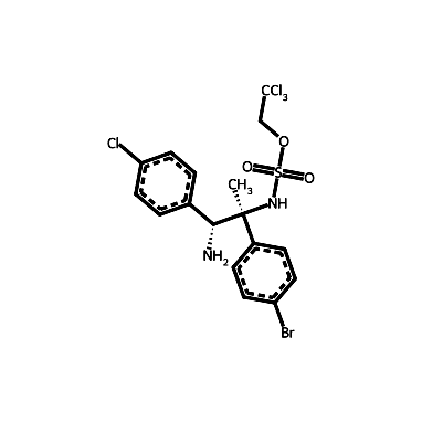 C[C@](NS(=O)(=O)OCC(Cl)(Cl)Cl)(c1ccc(Br)cc1)[C@H](N)c1ccc(Cl)cc1